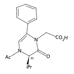 CC(=O)N1C=C(c2ccccc2)N(CC(=O)O)C(=O)[C@H]1C(C)C